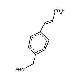 CNCc1ccc(C=CC(=O)O)cc1